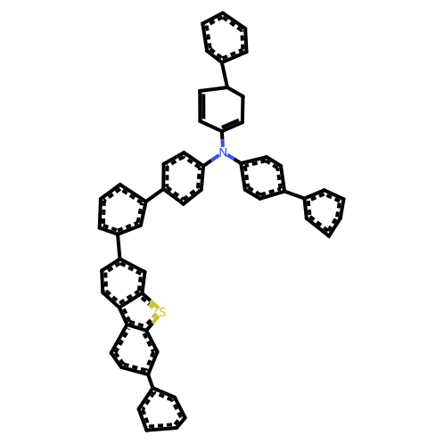 C1=CC(c2ccccc2)CC=C1N(c1ccc(-c2ccccc2)cc1)c1ccc(-c2cccc(-c3ccc4c(c3)sc3cc(-c5ccccc5)ccc34)c2)cc1